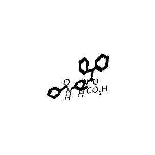 O=C(NC1CC2C[C@@H]1C(C(=O)O)N2C(=O)C(c1ccccc1)c1ccccc1)c1ccccc1